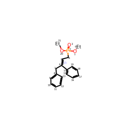 CCOP(=O)(C/C=C(/Cc1ccccc1)c1ccccc1)OCC